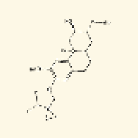 COc1cc2c(cc1OCC1(C(F)F)CC1)CCN1C[C@@H](OC(C)(C)C)[C@H](O)C[C@H]21